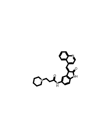 O=C(CCN1CCCCC1)Nc1ccc2c(c1)C(=Cc1ccnc3ccccc13)C(=O)N2